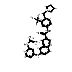 C=C(C)Nc1cc(Oc2ccc3ccc(C(=O)Nc4ccc(CN5CCCC5)c(C(F)(F)F)c4)cc3c2)ccn1